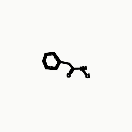 O=C(Cc1ccccc1)NCl